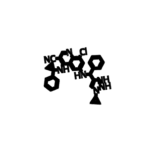 N#Cc1cnc2c(Cl)cc(NC(C3=CN(C4CC4)NN3)c3ccccc3)cc2c1NC1(c2ccccc2)CC1